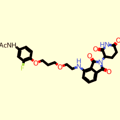 CC(=O)Nc1ccc(OCCCOCCNc2cccc3c2C(=O)N(C2CCC(=O)NC2=O)C3=O)c(F)c1